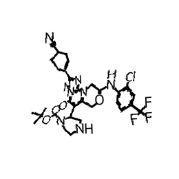 CCc1c(C2CNCCN2C(=O)OC(C)(C)C)c(=O)n2nc(C3=CCC(C#N)CC3)nc2n1CC(=O)Nc1ccc(C(F)(F)F)cc1Cl